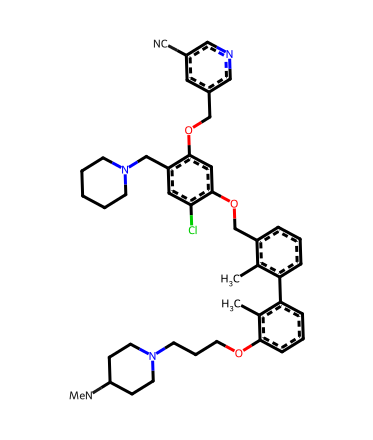 CNC1CCN(CCCOc2cccc(-c3cccc(COc4cc(OCc5cncc(C#N)c5)c(CN5CCCCC5)cc4Cl)c3C)c2C)CC1